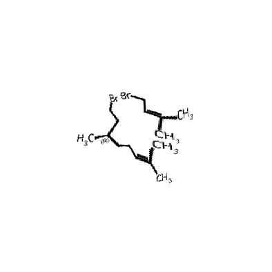 CC(C)=CCBr.CC(C)=CCC[C@@H](C)CCBr